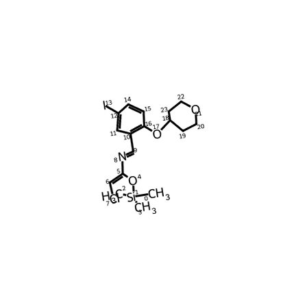 C[Si](C)(C)OC(=C\Cl)/N=C/c1cc(I)ccc1OC1CCOCC1